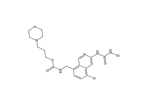 CCNC(=O)Nc1cc2c(Cl)ccc(CNC(=O)OCCCN3CCOCC3)c2cn1